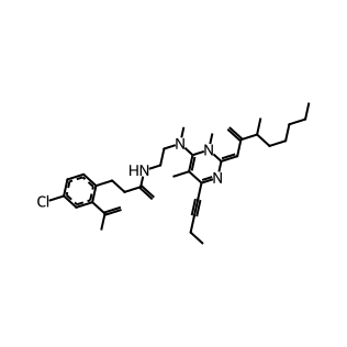 C=C(CCc1ccc(Cl)cc1C(=C)C)NCCN(C)C1=C(C)C(C#CCC)=N/C(=C/C(=C)C(C)CCCCC)N1C